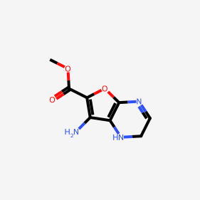 COC(=O)c1oc2c(c1N)NCC=N2